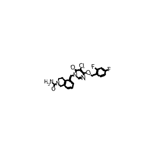 NC(=O)N1CCc2c(cccc2Cn2cnc(OCc3ccc(F)cc3F)c(Cl)c2=O)C1